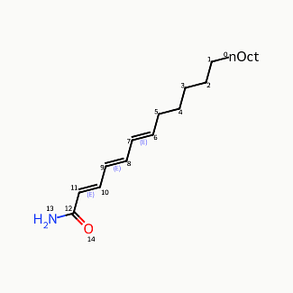 CCCCCCCCCCCCC/C=C/C=C/C=C/C(N)=O